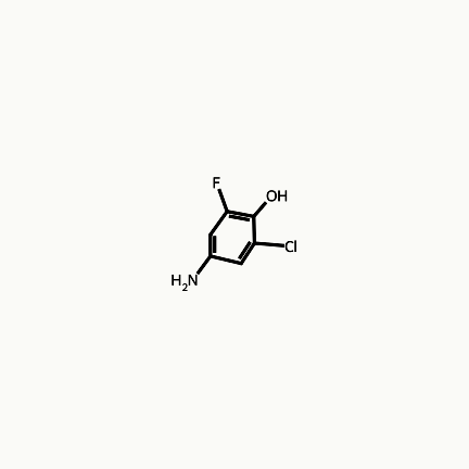 Nc1cc(F)c(O)c(Cl)c1